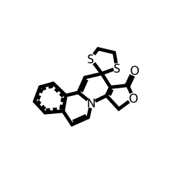 O=C1OCC2=C1C1(C=C3c4ccccc4C=CN32)SCCS1